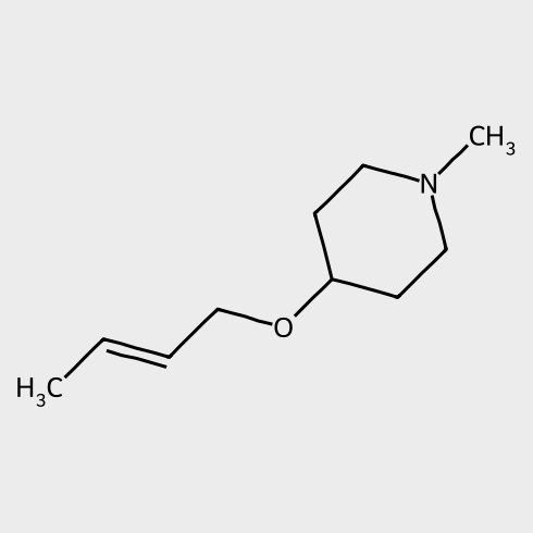 C/C=C/COC1CCN(C)CC1